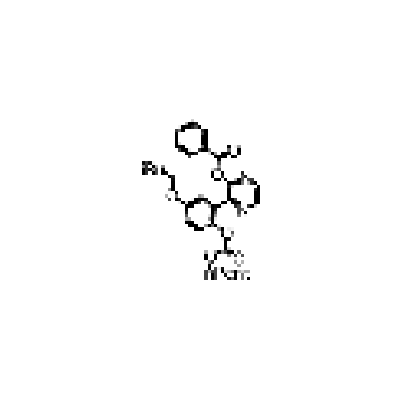 CCCCCOC(=O)Oc1ccc(OCC(C)CC)cc1-c1nccnc1OC(=O)c1ccccc1